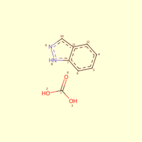 O=C(O)O.c1ccc2[nH]ncc2c1